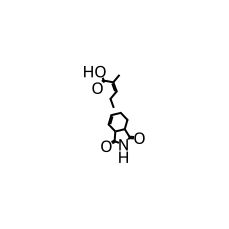 CCC=C(C)C(=O)O.O=C1NC(=O)C2CCC=CC12